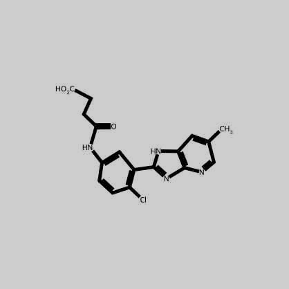 Cc1cnc2nc(-c3cc(NC(=O)CCC(=O)O)ccc3Cl)[nH]c2c1